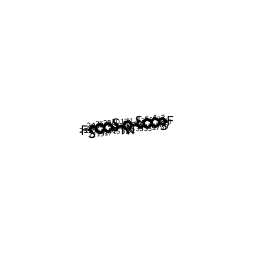 Fc1cc2cc3cc4sc(-c5ccc(-c6cc7cc8cc9sc(F)cc9cc8cc7s6)nn5)cc4cc3cc2s1